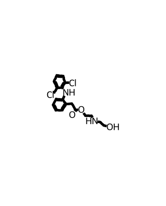 O=C(Cc1ccccc1Nc1c(Cl)cccc1Cl)OCCNCCO